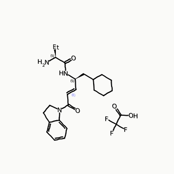 CC[C@H](N)C(=O)N[C@H](/C=C/C(=O)N1CCc2ccccc21)CC1CCCCC1.O=C(O)C(F)(F)F